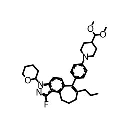 CCCC1=C(c2ccc(N3CCC(C(OC)OC)CC3)cc2)c2ccc3c(c(F)nn3C3CCCCO3)c2CCC1